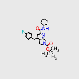 CC(C)(C)OC(=O)N1CCc2c(Cc3ccc(F)cc3)cc(C(=O)NC3CCCCC3)nc2C1